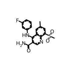 Cc1cc(S(C)(=O)=O)c2ncc(C(N)=O)c(Nc3cccc(F)c3)c2c1